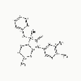 Nc1ccc(NC(=O)C(O)(Cc2ccccc2)C2CCC(C(F)(F)F)CC2)cc1C(F)(F)F